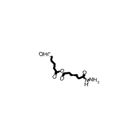 NNC(=O)CCCCC(=O)OC(=O)CCCCC=O